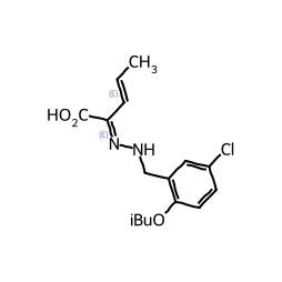 C/C=C/C(=N\NCc1cc(Cl)ccc1OCC(C)C)C(=O)O